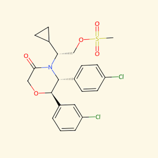 CS(=O)(=O)OC[C@@H](C1CC1)N1C(=O)CO[C@H](c2cccc(Cl)c2)[C@H]1c1ccc(Cl)cc1